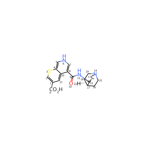 O=C(O)C1=CSC2=CNC=C(C(=O)N[C@H]3CN4CCC3CC4)C2=C1